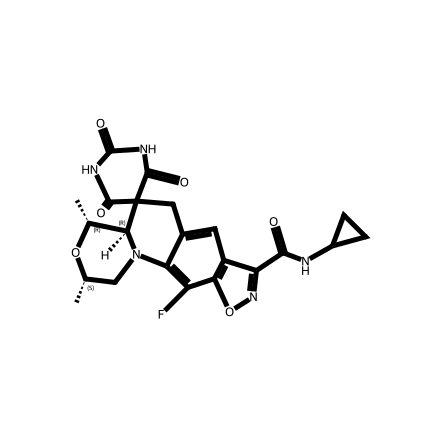 C[C@H]1CN2c3c(cc4c(C(=O)NC5CC5)noc4c3F)CC3(C(=O)NC(=O)NC3=O)[C@@H]2[C@@H](C)O1